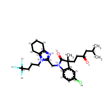 CC(C)CC(=O)CCC1(C)C(=O)N(Cc2nc3c(n2CCCC(F)(F)F)CCCC3)c2ccc(Cl)cc21